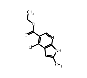 CCOC(=O)c1cnc2[nH]c(C)cc2c1Cl